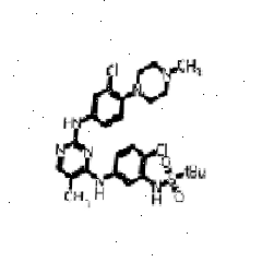 Cc1cnc(Nc2ccc(N3CCN(C)CC3)c(Cl)c2)nc1Nc1ccc(Cl)c(NS(=O)(=O)C(C)(C)C)c1